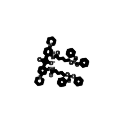 O=C(CCCCOP(Oc1ccccc1)Oc1ccccc1)NC1=CC(=[N+]2CCCCC2)C=C/C1=C1\C(=O)C(c2ccc(N3CCCCC3)cc2NC(=O)CCCCOP(Oc2ccccc2)Oc2ccccc2)=C1[O-]